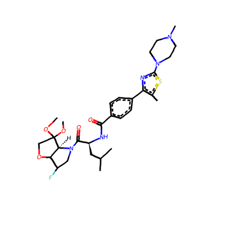 COC1(OC)COC2C(F)CN(C(=O)[C@H](CC(C)C)NC(=O)c3ccc(-c4nc(N5CCN(C)CC5)sc4C)cc3)[C@@H]21